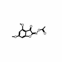 COc1cc(OC)c2c(c1)O/C(=N/OC(C)=O)C2=O